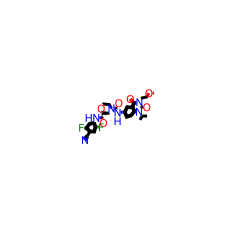 COCCn1c(=O)c2cc(NC(=O)N3CCO[C@@H](C(=O)Nc4cc(F)c(C#N)cc4F)C3)ccc2n(C(C)C)c1=O